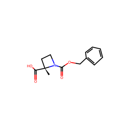 C[C@@]1(C(=O)O)CCN1C(=O)OCc1ccccc1